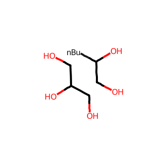 CCCCC(O)CO.OCC(O)CO